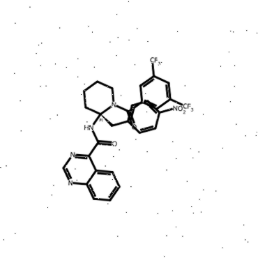 O=C(N[C@]1(Cc2ccc([N+](=O)[O-])cc2)CCCCN1C(=O)c1cc(C(F)(F)F)cc(C(F)(F)F)c1)c1ncnc2ccccc12